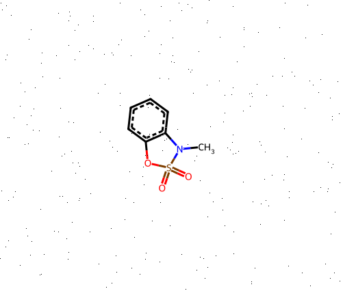 CN1c2ccccc2OS1(=O)=O